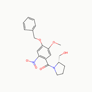 COc1cc(C(=O)N2CCC[C@H]2CO)c([N+](=O)[O-])cc1OCc1ccccc1